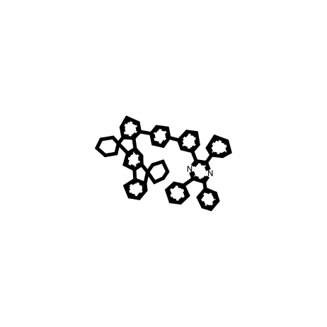 c1ccc(-c2nc(-c3ccccc3)c(-c3cccc(-c4ccc(-c5cccc6c5-c5cc7c(cc5C65CCCCC5)-c5ccccc5C75CCCCC5)cc4)c3)nc2-c2ccccc2)cc1